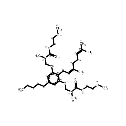 CCCCCc1cc(OCN(C)C(=O)OCCOC)c(CC=C(C)CCC=C(C)C)c(OCN(C)C(=O)OCCOC)c1